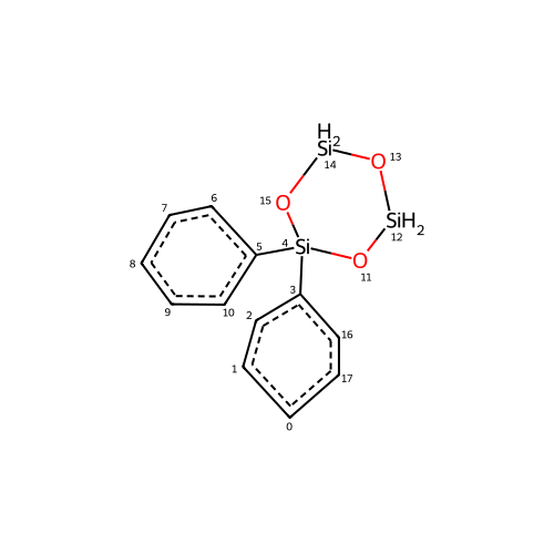 c1ccc([Si]2(c3ccccc3)O[SiH2]O[SiH2]O2)cc1